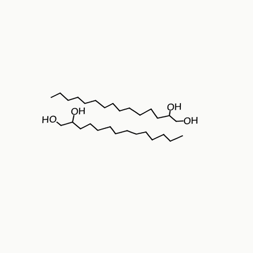 CCCCCCCCCCCCC(O)CO.CCCCCCCCCCCCCC(O)CO